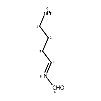 [CH2]CCCCC/[C]=N/C=O